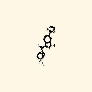 CN1CC2CC1CN2C(=O)c1n[nH]c2cc(-c3nccs3)ccc12